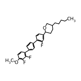 CCCCCC1CCC(c2ccc(-c3ccc(-c4ccc(OC)c(F)c4F)cc3)c(F)c2)OC1